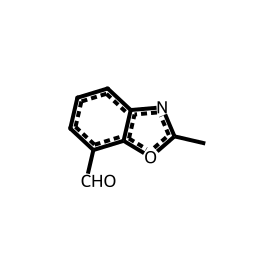 Cc1nc2cccc(C=O)c2o1